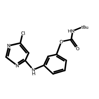 CC(C)(C)NC(=O)Oc1cccc(Nc2cc(Cl)ncn2)c1